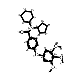 COc1cc(Oc2ccc(C(=O)N(C3CCCCC3)C3CCCC3)cc2)cc(OC)c1OC